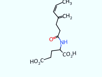 C=C(/C=C\C)CCC(=O)NC(CCC(=O)O)C(=O)O